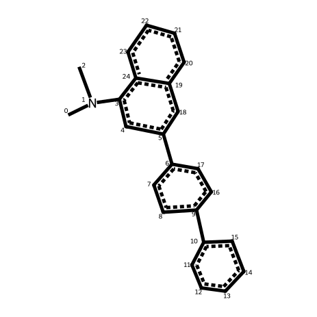 CN(C)c1cc(-c2ccc(-c3ccccc3)cc2)cc2ccccc12